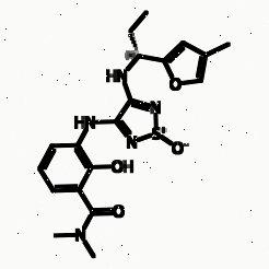 CC[C@@H](Nc1n[s+]([O-])nc1Nc1cccc(C(=O)N(C)C)c1O)c1cc(C)co1